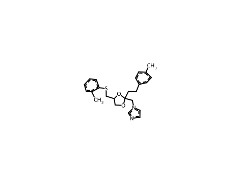 Cc1ccc(CCC2(Cn3ccnc3)OCC(CSc3ccccc3C)O2)cc1